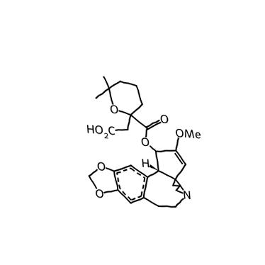 COC1=CC23CCCN2CCc2cc4c(cc2[C@@H]3C1OC(=O)C1(CC(=O)O)CCCC(C)(C)O1)OCO4